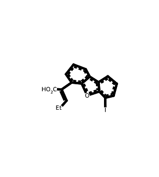 CCC=C(C(=O)O)c1cccc2c1oc1c(I)cccc12